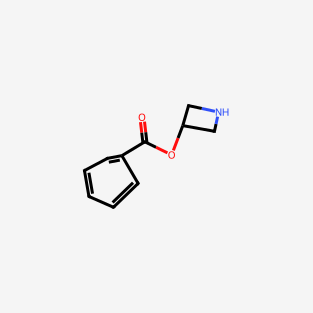 O=C(OC1CNC1)c1ccccc1